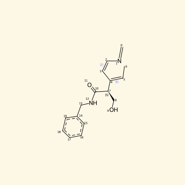 C=N/C=C\C(=C/C)[C@@H](CO)C(=O)NCc1ccccc1